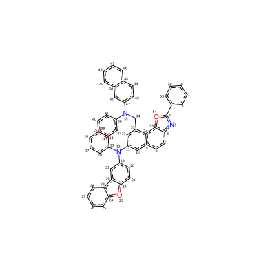 c1ccc(-c2nc3ccc4cc(N(c5ccccc5)c5ccc6oc7ccccc7c6c5)cc(CN(c5ccccc5)c5ccc6ccccc6c5)c4c3o2)cc1